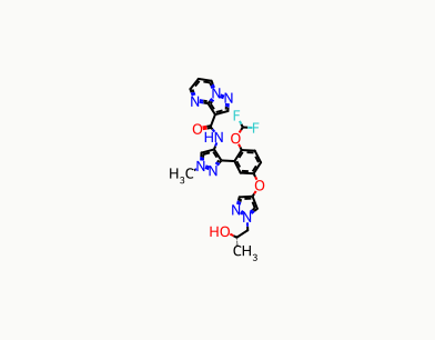 C[C@H](O)Cn1cc(Oc2ccc(OC(F)F)c(-c3nn(C)cc3NC(=O)c3cnn4cccnc34)c2)cn1